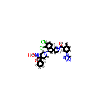 Cc1ccc(-n2cnnn2)cc1C(=O)N1CCC(CCN2CCC(C(=O)NO)(c3ccccc3)CC2)(c2ccc(Cl)c(Cl)c2)C1